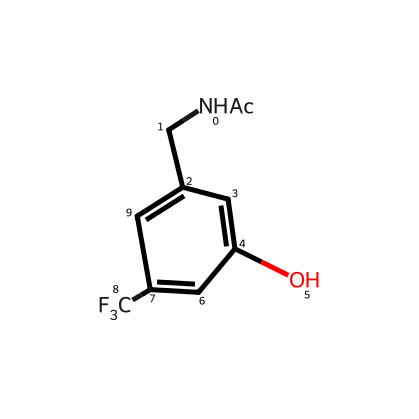 CC(=O)NCc1cc(O)cc(C(F)(F)F)c1